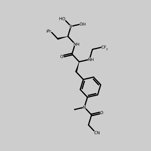 CC(C)C[C@H](NC(=O)[C@H](Cc1cccc(N(C)C(=O)CC#N)c1)NCC(F)(F)F)B(O)O